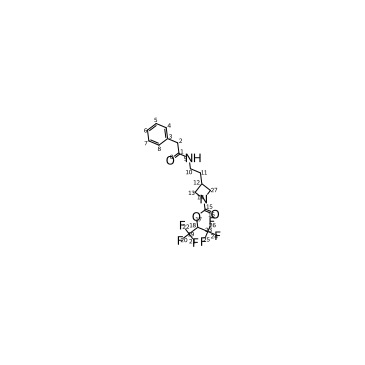 O=C(Cc1ccccc1)NCCC1CN(C(=O)OC(C(F)(F)F)C(F)(F)F)C1